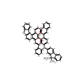 CC1(C)c2ccccc2-c2ccc(N(c3ccc(-c4ccc5ccccc5c4)cc3)c3ccccc3-c3ccc4c5ccccc5c5c(ccc6oc7ccccc7c65)c4c3)cc21